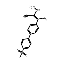 CS(=O)(=O)c1ccc(-c2ccc(/C(N)=C(\C#N)NN)cc2)cc1